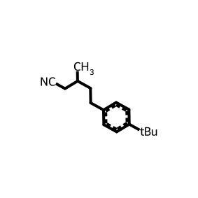 CC(CC#N)CCc1ccc(C(C)(C)C)cc1